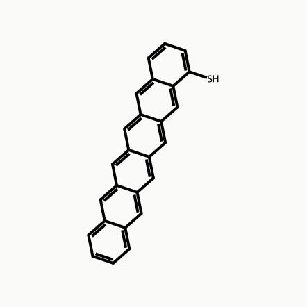 Sc1cccc2cc3cc4cc5cc6ccccc6cc5cc4cc3cc12